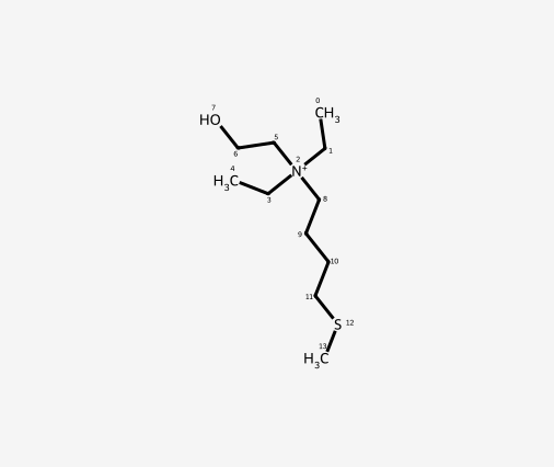 CC[N+](CC)(CCO)CCCCSC